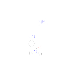 CC(C)N(C(=O)c1cccc(NCC2CCC(N)CC2)c1)C(C)C